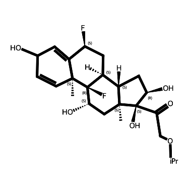 CC(C)OCC(=O)[C@@]1(O)[C@H](O)C[C@H]2[C@@H]3C[C@H](F)C4=CC(O)C=C[C@]4(C)[C@@]3(F)[C@@H](O)C[C@@]21C